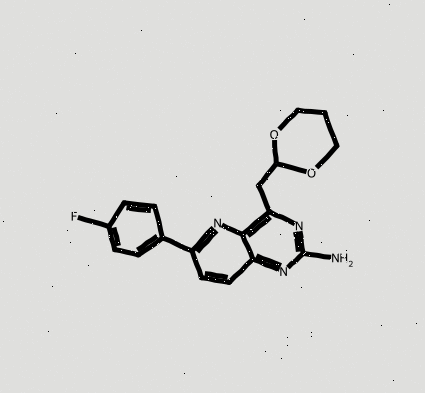 Nc1nc(CC2OCCCO2)c2nc(-c3ccc(F)cc3)ccc2n1